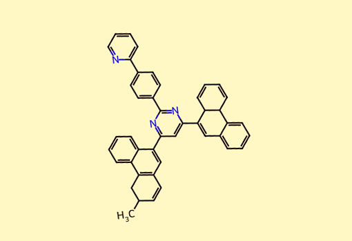 CC1C=Cc2cc(-c3cc(C4=Cc5ccccc5C5C=CC=CC45)nc(-c4ccc(-c5ccccn5)cc4)n3)c3ccccc3c2C1